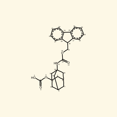 O=C(O)OC12CC3CC(CC(NC(=O)OCC4c5ccccc5-c5ccccc54)(C3)C1)C2